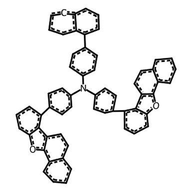 c1ccc2c(-c3ccc(N(c4ccc(-c5cccc6oc7c8ccccc8ccc7c56)cc4)c4ccc(-c5cccc6oc7c8ccccc8ccc7c56)cc4)cc3)cccc2c1